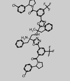 CC(Cc1ccccc1)(NC[C@](N)(Cc1ccccc1)c1nnc(-c2cc(C(=O)N3CCCC3c3cccc(Cl)c3)cc(C(F)(F)F)c2)o1)c1nnc(-c2cc(C(=O)N3CCCC3c3cccc(Cl)c3)cc(C(F)(F)F)c2)o1